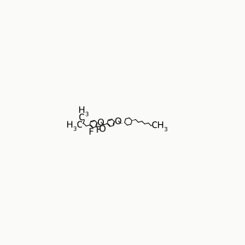 CCCCCCC[C@H]1CC[C@H](COc2ccc(C(=O)Oc3ccc(C[C@@H](C)CC)c(F)c3F)cc2)CC1